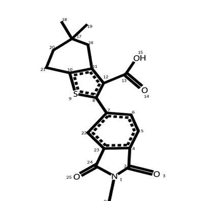 CN1C(=O)c2ccc(-c3sc4c(c3C(=O)O)CC(C)(C)CC4)cc2C1=O